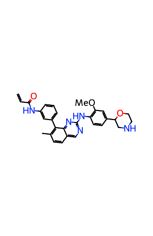 C=CC(=O)Nc1cccc(-c2c(C)ccc3cnc(Nc4ccc(C5CNCCO5)cc4OC)nc23)c1